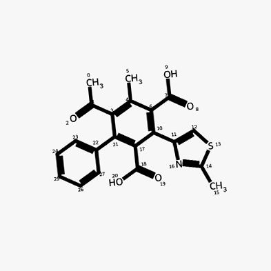 CC(=O)c1c(C)c(C(=O)O)c(-c2csc(C)n2)c(C(=O)O)c1-c1ccccc1